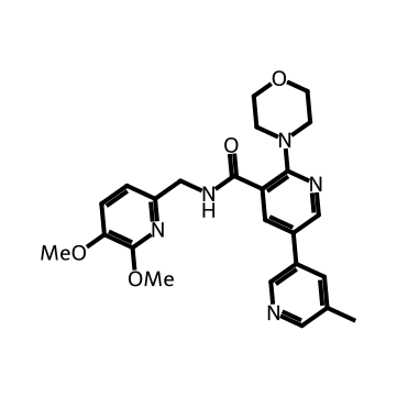 COc1ccc(CNC(=O)c2cc(-c3cncc(C)c3)cnc2N2CCOCC2)nc1OC